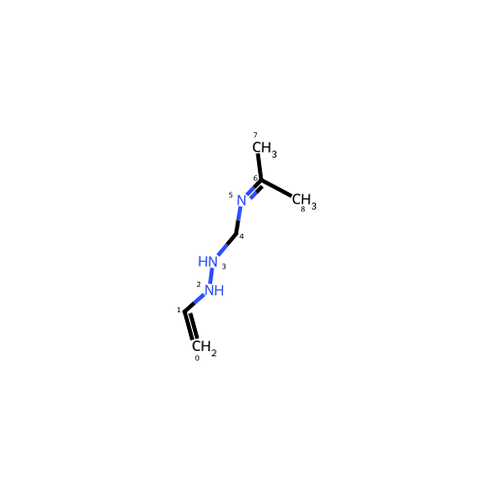 C=CNNCN=C(C)C